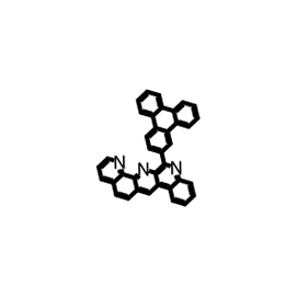 c1cnc2c(c1)ccc1cc3c(nc12)c(-c1ccc2c4ccccc4c4ccccc4c2c1)nc1ccccc13